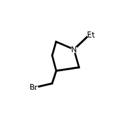 CCN1CCC(CBr)C1